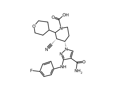 N#C[C@@H]1C(C2CCOCC2)N(C(=O)O)CC[C@@H]1n1cc(C(N)=O)c(Nc2ccc(F)cc2)n1